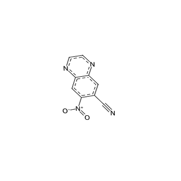 N#Cc1cc2nccnc2cc1[N+](=O)[O-]